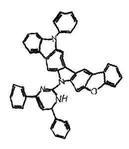 C1=C(c2ccccc2)N=C(n2c3cc4oc5ccccc5c4cc3c3cc4c(cc32)c2ccccc2n4-c2ccccc2)NC1c1ccccc1